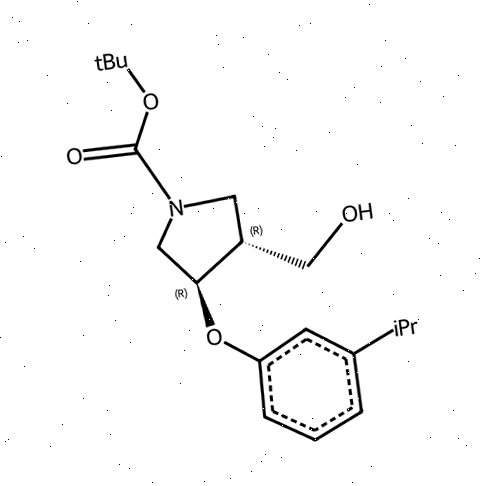 CC(C)c1cccc(O[C@H]2CN(C(=O)OC(C)(C)C)C[C@@H]2CO)c1